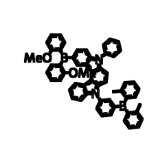 COc1ccccc1B(c1ccc2c(c1)c1c3c4ccccc4n(-c4cccc(B(c5ccccc5C)c5ccccc5C)c4)c3ccc1n2-c1ccccc1)c1ccccc1OC